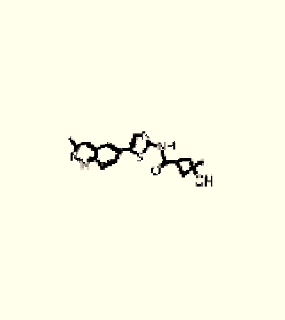 Cc1cc2cc(-c3cnc(NC(=O)C4CC(C)(O)C4)s3)ccc2nn1